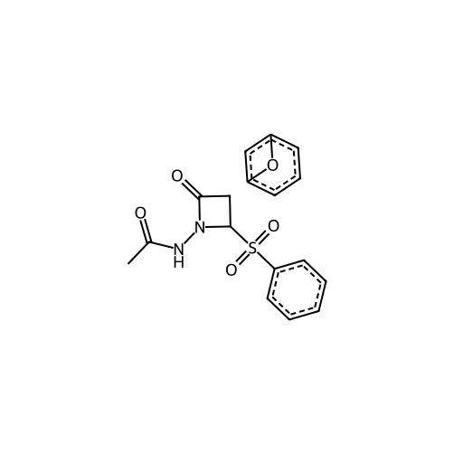 CC(=O)NN1C(=O)CC1S(=O)(=O)c1ccccc1.c1cc2cc(c1)O2